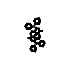 CC1=CC(N(c2ccccc2)c2ccccc2)C2=CCc3c(C)cc(N(c4ccccc4)c4ccccc4)c4ccc1c2c34